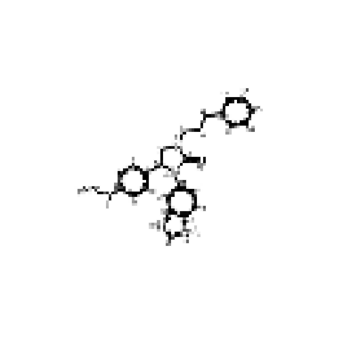 CCCOc1ccc(C2CN(CCCc3ccccc3)C(=O)N2c2ccc3[nH]cnc3c2)cc1